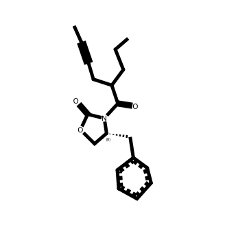 CC#CCC(CCC)C(=O)N1C(=O)OC[C@H]1Cc1ccccc1